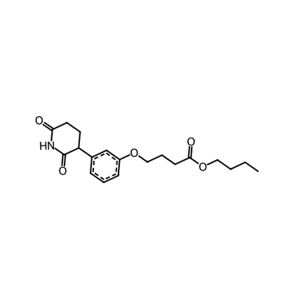 CCCCOC(=O)CCCOc1cccc(C2CCC(=O)NC2=O)c1